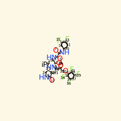 CC(C)C[C@H](NC(=O)C(=O)Nc1ccc(F)c(F)c1)C(=O)N[C@@H](C[C@@H]1CCNC1=O)C(=O)COc1c(F)c(F)cc(F)c1F